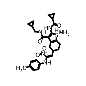 Cc1ccc(NC(=CC2CCC3=C(C2)C(C(=O)NCC2CC2)=C(NC(=O)C2CC2)[SH]3N)[N+](=O)[O-])cc1